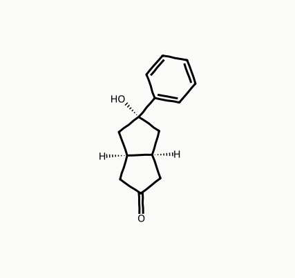 O=C1C[C@@H]2C[C@](O)(c3ccccc3)C[C@@H]2C1